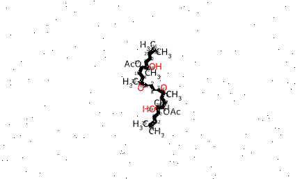 CC(=O)O[C@H](CC[C@]1(C)O[C@@H]1CC[C@H]1O[C@@]1(C)CC[C@@H](OC(C)=O)[C@@](C)(O)CCC=C(C)C)[C@@](C)(O)CCC=C(C)C